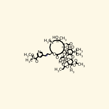 CCC(=O)O[C@@H]1CC(=O)O[C@@H](C/C=C/c2cncc(C(=O)N(C)OC)c2)CCCN(C)C[C@H](O)[C@H](C)C[C@H](CC=O)[C@H](O[C@@H]2OC(C)[C@@H](O[C@H]3CC(C)(OC(C)=O)[C@@H](OC(=O)CC)C(C)O3)C(N(C)C)C2O)[C@H]1OC